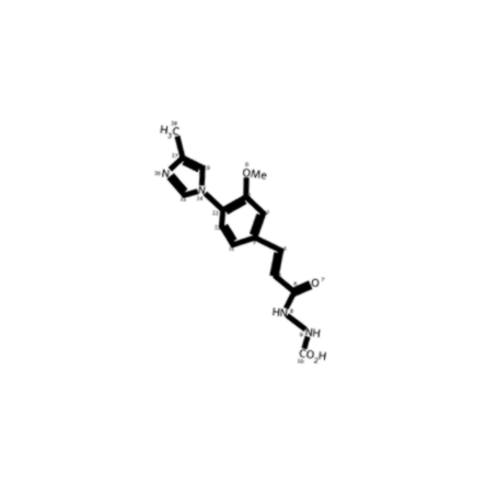 COc1cc(C=CC(=O)NNC(=O)O)ccc1-n1cnc(C)c1